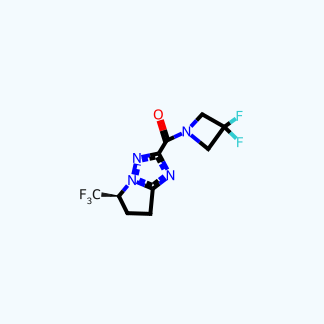 O=C(c1nc2n(n1)[C@H](C(F)(F)F)CC2)N1CC(F)(F)C1